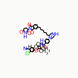 CC1(C)C(NC(=O)c2ccc(N3CCNCC3CCCCCCc3ccc4c(c3)C(=O)N(C3CCC(=O)NC3=O)C4=O)cc2)C(C)(C)C1Oc1ccc(C#N)c(Cl)c1